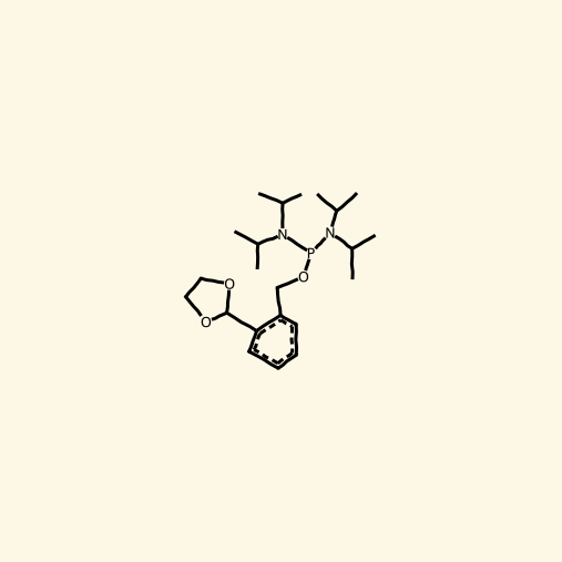 CC(C)N(C(C)C)P(OCc1ccccc1C1OCCO1)N(C(C)C)C(C)C